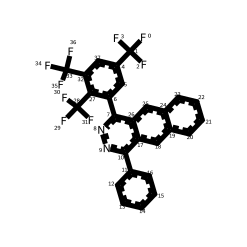 FC(F)(F)c1cc(-c2nnc(-c3ccccc3)c3cc4ccccc4cc23)c(C(F)(F)F)c(C(F)(F)F)c1